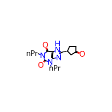 CCCn1c(=O)c2[nH]c([C@H]3CCC(=O)C3)nc2n(CCC)c1=O